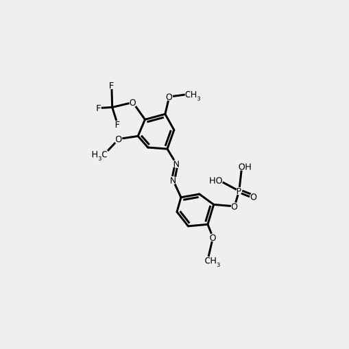 COc1ccc(N=Nc2cc(OC)c(OC(F)(F)F)c(OC)c2)cc1OP(=O)(O)O